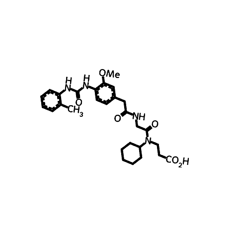 COc1cc(CC(=O)NCC(=O)N(CCC(=O)O)C2CCCCC2)ccc1NC(=O)Nc1ccccc1C